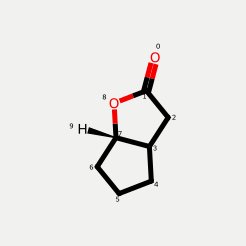 O=C1CC2CCC[C@@H]2O1